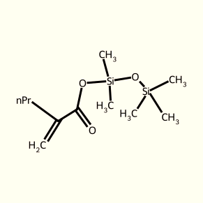 C=C(CCC)C(=O)O[Si](C)(C)O[Si](C)(C)C